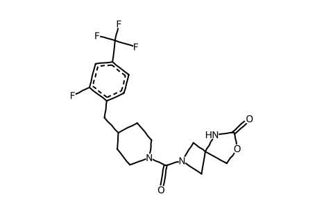 O=C1NC2(CO1)CN(C(=O)N1CCC(Cc3ccc(C(F)(F)F)cc3F)CC1)C2